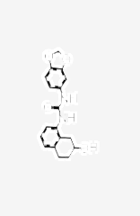 O=C(Nc1ccc2c(c1)OCO2)Nc1cccc2c1CC(O)CC2